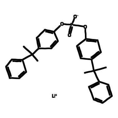 CC(C)(c1ccccc1)c1ccc(OP(=O)([O-])Oc2ccc(C(C)(C)c3ccccc3)cc2)cc1.[Li+]